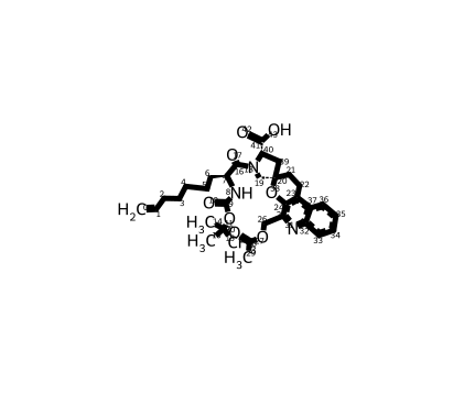 C=CCCCCC[C@H](NC(=O)OC(C)(C)C)C(=O)N1C[C@@]2(CCc3c(c(COC(C)=O)nc4ccccc34)O2)C[C@H]1C(=O)O